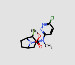 CN(c1ccc(Cl)nn1)C1CC2CCC(C1F)N2C(=O)OC(C)(C)C